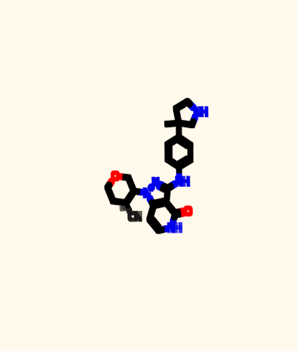 CC1(c2ccc(Nc3nn(C4COCC[C@@H]4C#N)c4cc[nH]c(=O)c34)cc2)CCNC1